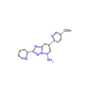 COc1ccc(-c2cc(N)n3nc(-c4ccccn4)nc3c2)nc1